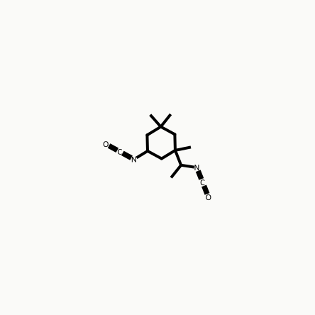 CC(N=C=O)C1(C)CC(N=C=O)CC(C)(C)C1